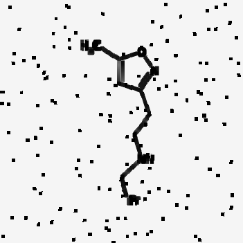 Cc1cc(CCNCC(C)C)no1